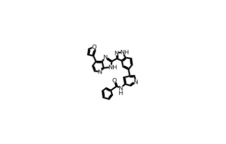 O=C(Nc1cncc(-c2ccc3[nH]nc(-c4nc5c(-c6ccoc6)ccnc5[nH]4)c3c2)c1)c1ccccc1